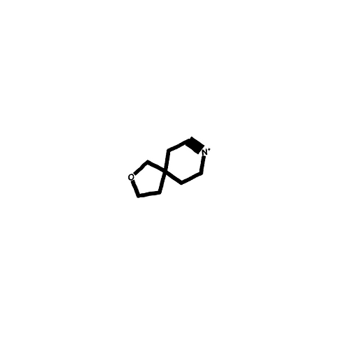 C1#[N+]CCC2(C1)CCOC2